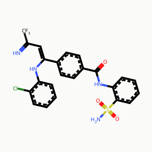 N=C(/C=C(\Nc1ccccc1Cl)c1ccc(C(=O)Nc2ccccc2S(N)(=O)=O)cc1)C(F)(F)F